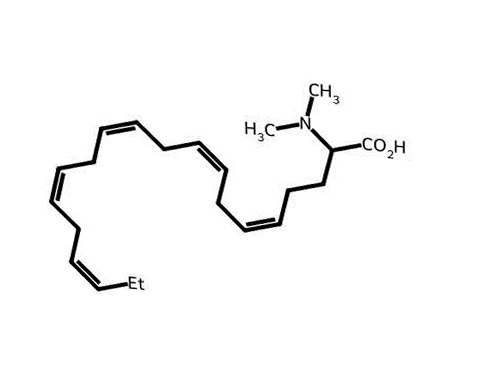 CC/C=C\C/C=C\C/C=C\C/C=C\C/C=C\CCC(C(=O)O)N(C)C